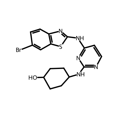 OC1CCC(Nc2nccc(Nc3nc4ccc(Br)cc4s3)n2)CC1